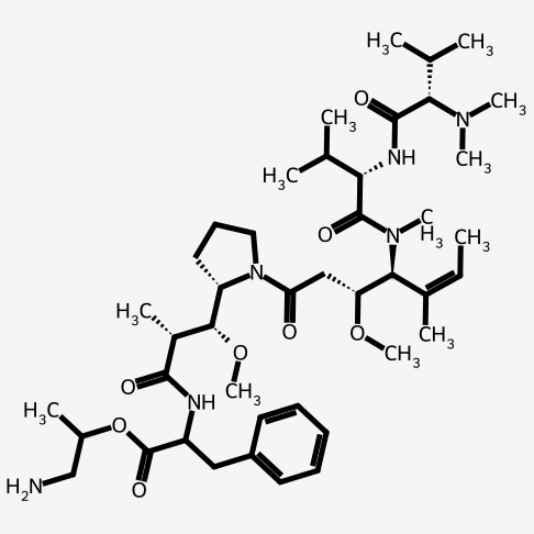 C/C=C(/C)[C@@H]([C@@H](CC(=O)N1CCC[C@H]1[C@H](OC)[C@@H](C)C(=O)NC(Cc1ccccc1)C(=O)OC(C)CN)OC)N(C)C(=O)[C@@H](NC(=O)[C@H](C(C)C)N(C)C)C(C)C